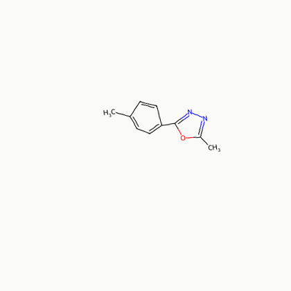 Cc1ccc(-c2nnc(C)o2)cc1